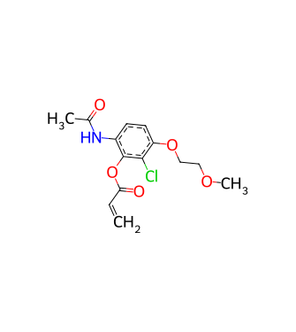 C=CC(=O)Oc1c(NC(C)=O)ccc(OCCOC)c1Cl